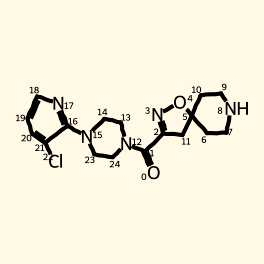 O=C(C1=NOC2(CCNCC2)C1)N1CCN(c2ncccc2Cl)CC1